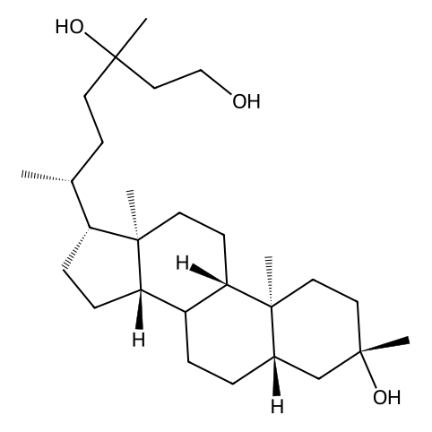 C[C@H](CCC(C)(O)CCO)[C@H]1CC[C@H]2C3CC[C@H]4C[C@@](C)(O)CC[C@]4(C)[C@H]3CC[C@]12C